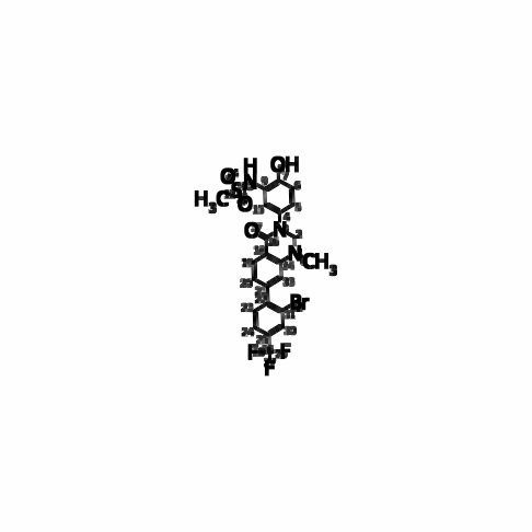 CN1CN(c2ccc(O)c(NS(C)(=O)=O)c2)C(=O)c2ccc(-c3ccc(C(F)(F)F)cc3Br)cc21